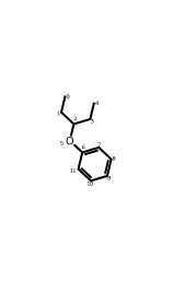 CCC(CC)Oc1cc[c]cc1